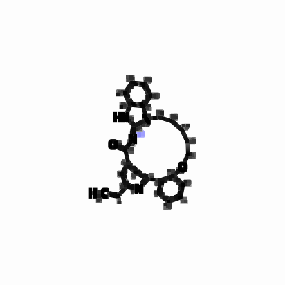 C=Cc1cc2cc(n1)-c1ccccc1OCCCCCN1/C(=N/C2=O)Nc2ccccc21